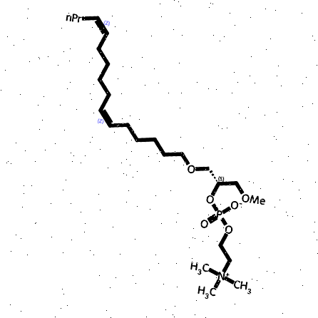 CCC/C=C\CCCC/C=C\CCCCCOC[C@H](COC)OP(=O)([O-])OCC[N+](C)(C)C